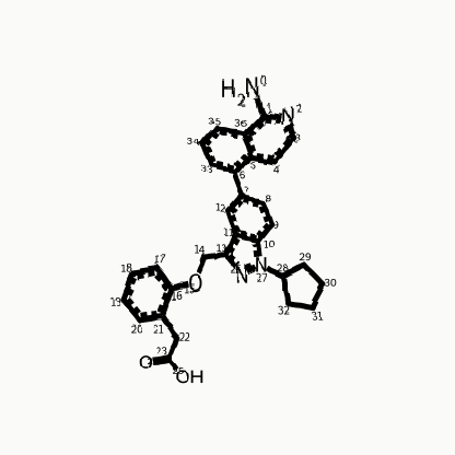 Nc1nccc2c(-c3ccc4c(c3)c(COc3ccccc3CC(=O)O)nn4C3CCCC3)cccc12